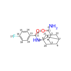 NC(=O)C12CC3CC(CC(NC(=O)c4ccc(F)cc4)(C3)C1)C2